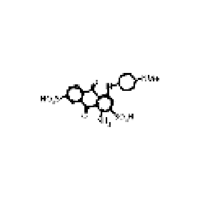 CNC1CCC(Nc2cc(S(=O)(=O)O)c(N)c3c2C(=O)c2ccc(S(=O)(=O)O)cc2C3=O)CC1